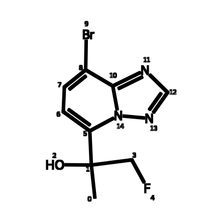 CC(O)(CF)c1ccc(Br)c2ncnn12